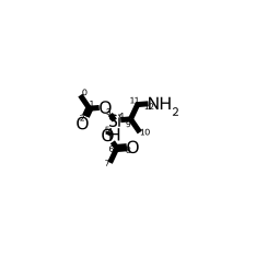 CC(=O)O[SiH](OC(C)=O)C(C)CN